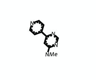 CNc1cc(-c2ccncc2)ncn1